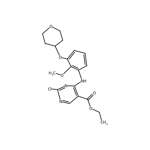 CCOC(=O)c1cnc(Cl)nc1Nc1cccc(OC2CCOCC2)c1OC